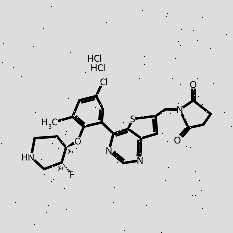 Cc1cc(Cl)cc(-c2ncnc3cc(CN4C(=O)CCC4=O)sc23)c1O[C@@H]1CCNC[C@H]1F.Cl.Cl